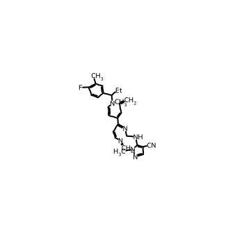 C=C/C=C(\C=C/N(C)C(CC)c1ccc(F)c(C)c1)C(/C=C\N=C)=N/CNc1c(C#N)cnn1C